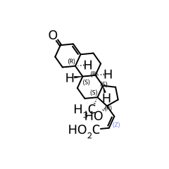 C[C@]12CC[C@H]3[C@@H](CCC4=CC(=O)CC[C@@H]43)[C@@H]1CC[C@@]2(O)/C=C\C(=O)O